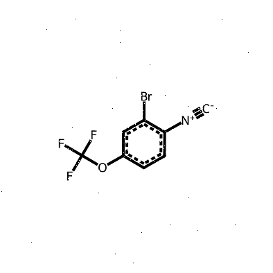 [C-]#[N+]c1ccc(OC(F)(F)F)cc1Br